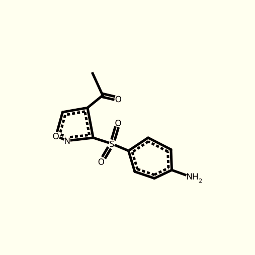 CC(=O)c1conc1S(=O)(=O)c1ccc(N)cc1